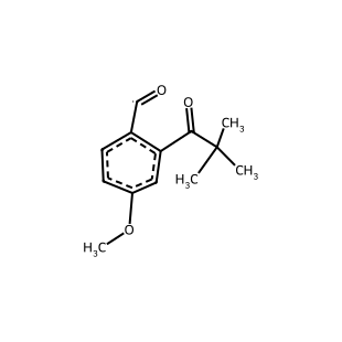 COc1ccc([C]=O)c(C(=O)C(C)(C)C)c1